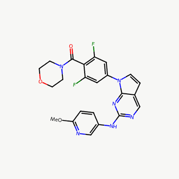 COc1ccc(Nc2ncc3ccn(-c4cc(F)c(C(=O)N5CCOCC5)c(F)c4)c3n2)cn1